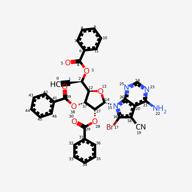 C#C[C@@H](OC(=O)c1ccccc1)[C@H]1O[C@H](n2c(Br)c(C#N)c3c(N)ncnc32)[C@H](OC(=O)c2ccccc2)[C@@H]1OC(=O)c1ccccc1